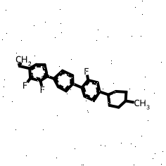 C=Cc1ccc(-c2ccc(-c3ccc(C4CCC(C)CC4)cc3F)cc2)c(F)c1F